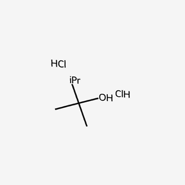 CC(C)C(C)(C)O.Cl.Cl